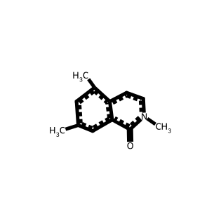 Cc1cc(C)c2ccn(C)c(=O)c2c1